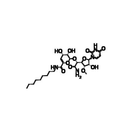 CCCCCCCCCNC(=O)C1=C[C@H](O)[C@H](O)[C@@H](O[C@@H](C(N)=O)[C@H]2O[C@@H](n3ccc(=O)[nH]c3=O)[C@H](O)[C@@H]2OC)O1